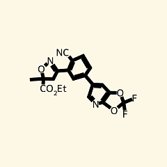 CCOC(=O)C1(C)CC(c2cc(-c3cnc4c(c3)OC(F)(F)O4)ccc2C#N)=NO1